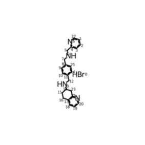 Br.c1ccc(CNCc2ccc(CNC3CCc4cccnc4C3)cc2)nc1